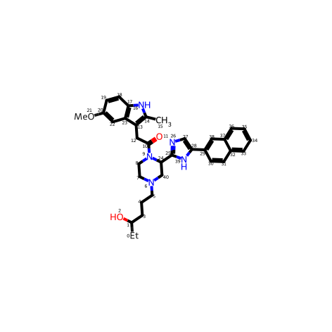 CCC(O)CCCN1CCN(C(=O)Cc2c(C)[nH]c3ccc(OC)cc23)C(c2ncc(-c3ccc4ccccc4c3)[nH]2)C1